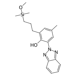 CO[Si](C)(C)CCCc1cc(C)cc(-n2nc3ccccc3n2)c1O